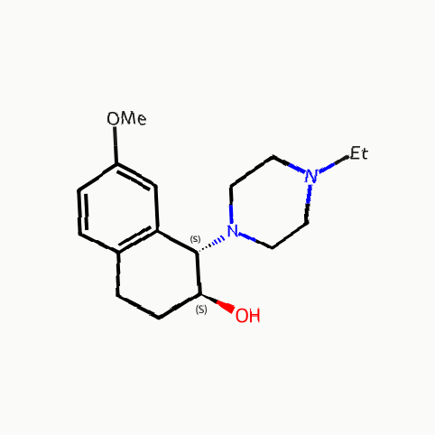 CCN1CCN([C@H]2c3cc(OC)ccc3CC[C@@H]2O)CC1